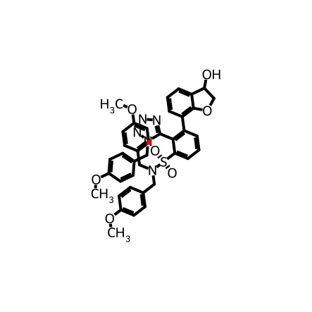 COc1ccc(CN(Cc2ccc(OC)cc2)S(=O)(=O)c2cccc(-c3cccc4c3OCC4O)c2-c2nnnn2Cc2ccc(OC)cc2)cc1